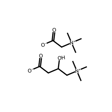 C[N+](C)(C)CC(=O)[O-].C[N+](C)(C)CC(O)CC(=O)[O-]